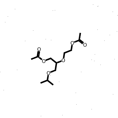 CC(=O)OCCOC(COC(C)=O)COC(C)C